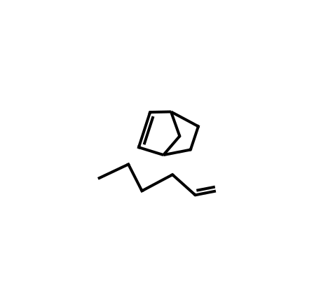 C1=CC2CCC1C2.C=CCCCC